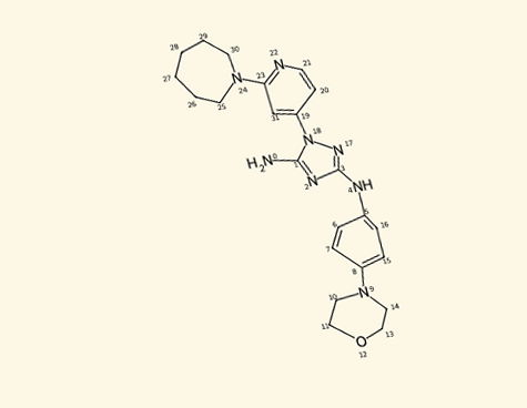 Nc1nc(Nc2ccc(N3CCOCC3)cc2)nn1-c1ccnc(N2CCCCCC2)c1